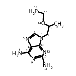 CC(Cn1cnc2c(N)nc(N)nc21)OCP